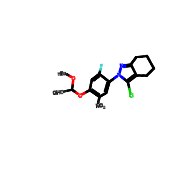 CCCCOC(C=O)Oc1cc(F)c(-n2nc3c(c2Cl)CCCC3)cc1[N+](=O)[O-]